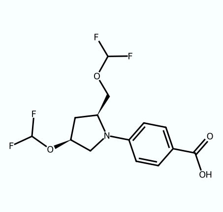 O=C(O)c1ccc(N2C[C@@H](OC(F)F)C[C@H]2COC(F)F)cc1